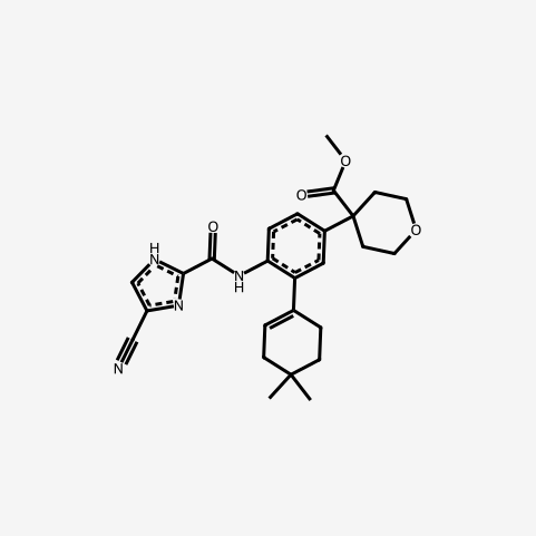 COC(=O)C1(c2ccc(NC(=O)c3nc(C#N)c[nH]3)c(C3=CCC(C)(C)CC3)c2)CCOCC1